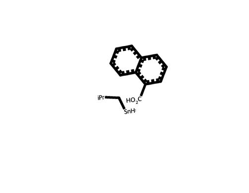 CC(C)[CH2][SnH].O=C(O)c1cccc2ccccc12